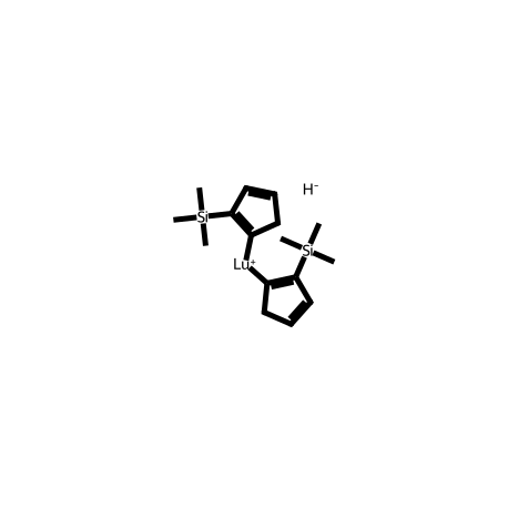 C[Si](C)(C)C1=[C]([Lu+][C]2=C([Si](C)(C)C)C=CC2)CC=C1.[H-]